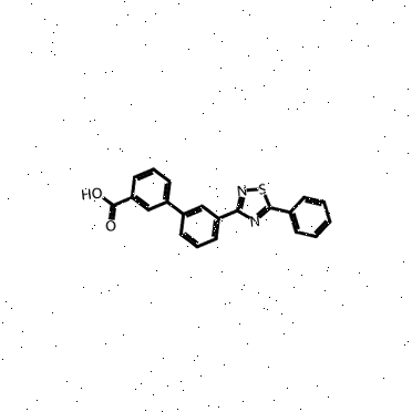 O=C(O)c1cccc(-c2cccc(-c3nsc(-c4ccccc4)n3)c2)c1